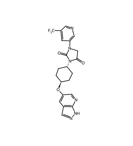 O=C1CN(c2cncc(C(F)(F)F)c2)C(=O)N1[C@H]1CC[C@H](Oc2cnc3[nH]ncc3c2)CC1